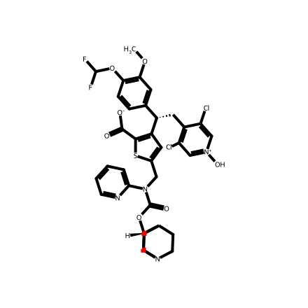 COc1cc([C@H](Cc2c(Cl)c[n+](O)cc2Cl)c2cc(CN(C(=O)O[C@H]3CN4CCC3CC4)c3ccccn3)sc2C(=O)[O-])ccc1OC(F)F